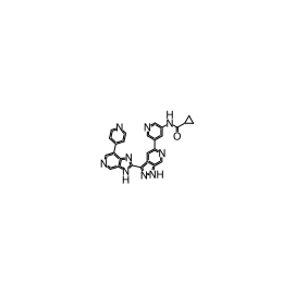 O=C(Nc1cncc(-c2cc3c(-c4nc5c(-c6ccncc6)cncc5[nH]4)n[nH]c3cn2)c1)C1CC1